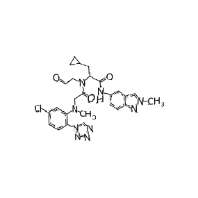 CN(CC(=O)N(CC=O)C(CC1CC1)C(=O)Nc1ccc2nn(C)cc2c1)c1cc(Cl)ccc1-n1cnnn1